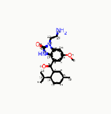 COc1cc(C(=O)C2CC(C)CCC2C(C)C)c2[nH]c(=O)n(CCN)c2c1